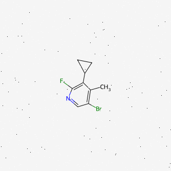 Cc1c(Br)cnc(F)c1C1CC1